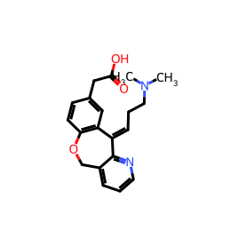 CN(C)CC/C=C1\c2cc(CC(=O)O)ccc2OCc2cccnc21